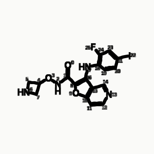 O=C(NOC1CNC1)c1oc2ccncc2c1Nc1ccc(I)cc1F